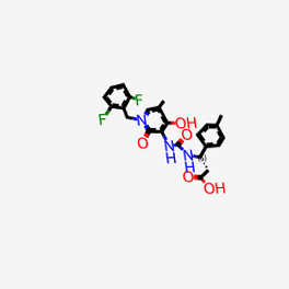 Cc1ccc([C@H](CC(=O)O)NC(=O)Nc2c(O)c(C)cn(Cc3c(F)cccc3F)c2=O)cc1